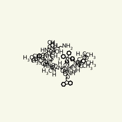 CSCC[C@H](NC(=O)[C@H](C)NC(=O)CNC(=O)[C@H](Cc1cn(C(c2ccccc2)(c2ccccc2)c2ccccc2)cn1)NC(=O)[C@H](CCCNC(=N)NS(=O)(=O)c1c(C)c(C)c2c(c1C)CC(C)(C)O2)NC(=O)OCC1c2ccccc2-c2ccccc21)C(=O)N[C@H](C(=O)N[C@@H](Cc1ccc(OC(C)(C)C)cc1)C(=O)N[C@@H](CC(C)C)C(=O)N[C@@H](CCCCN)C(=O)O)C(C)C